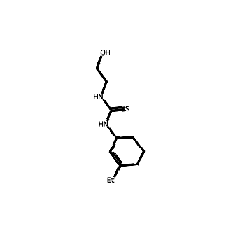 CCC1=CC(NC(=S)NCCO)CCC1